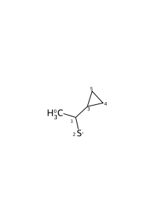 CC([S])C1CC1